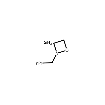 CCCCN1CCO1.[SiH4]